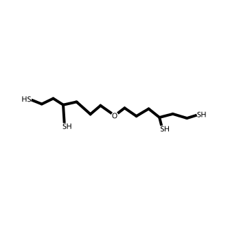 SCCC(S)CCCOCCCC(S)CCS